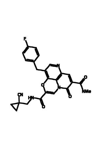 CNC(=O)c1cc2ncc(Cc3ccc(F)cc3)c3c2n(c1=O)C=C(C(=O)NCC1(C#N)CC1)O3